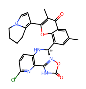 Cc1cc([C@@H](C)Nc2ccc(Cl)nc2-c2noc(=O)[nH]2)c2oc(-c3ccn4c3CCCC4)c(C)c(=O)c2c1